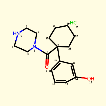 Cl.O=C(N1CCNCC1)C1(c2cccc(O)c2)CCCCC1